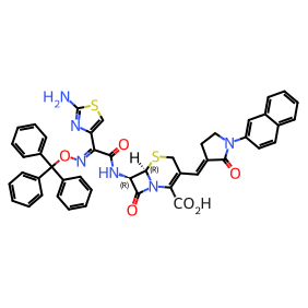 Nc1nc(C(=NOC(c2ccccc2)(c2ccccc2)c2ccccc2)C(=O)N[C@@H]2C(=O)N3C(C(=O)O)=C(C=C4CCN(c5ccc6ccccc6c5)C4=O)CS[C@H]23)cs1